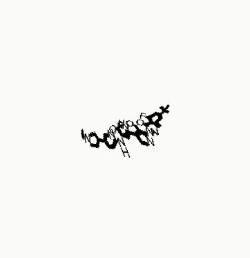 CCN1CCC(c2ccc(Nc3cc(-c4ccnc(-n5ncc6cc(C(C)(C)C)cc(F)c6c5=O)c4CO)nn(C)c3=O)nc2)CC1